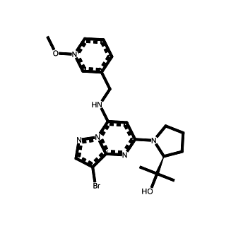 CO[n+]1cccc(CNc2cc(N3CCC[C@H]3C(C)(C)O)nc3c(Br)cnn23)c1